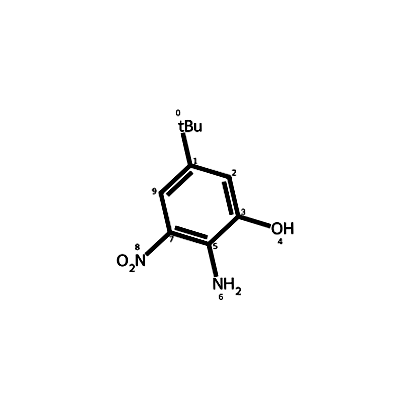 CC(C)(C)c1cc(O)c(N)c([N+](=O)[O-])c1